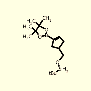 CC(C)(C)[SiH2]OCC1CC=C(B2OC(C)(C)C(C)(C)O2)C1